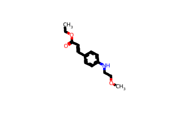 CCOC(=O)C=Cc1ccc(NCCOC)cc1